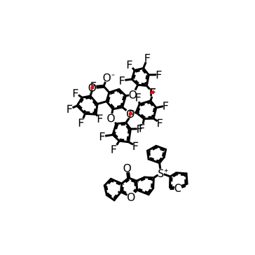 O=C([O-])c1cc(Oc2c(F)c(F)c(F)c(F)c2F)c(Oc2c(F)c(F)c(F)c(F)c2F)c(Oc2c(F)c(F)c(F)c(F)c2F)c1-c1c(F)c(F)c(F)c(F)c1F.O=c1c2ccccc2oc2ccc([S+](c3ccccc3)c3ccccc3)cc12